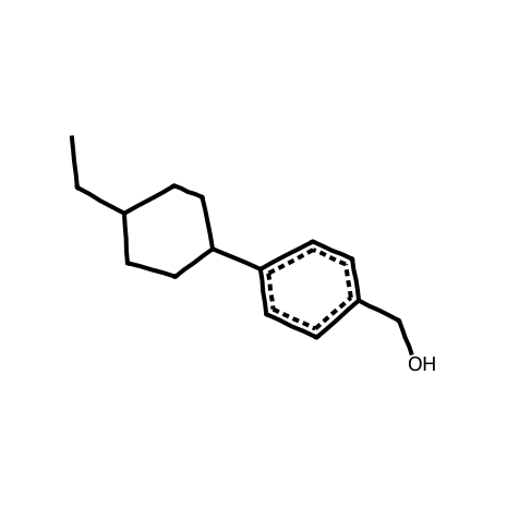 CCC1CCC(c2ccc(CO)cc2)CC1